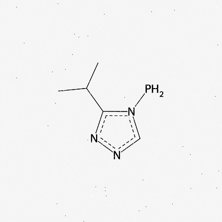 CC(C)c1nncn1P